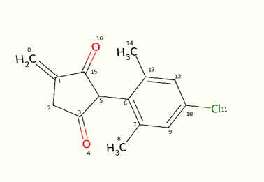 C=C1CC(=O)C(c2c(C)cc(Cl)cc2C)C1=O